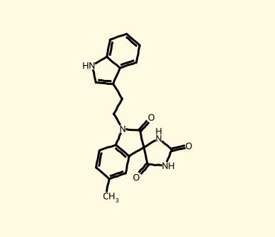 Cc1ccc2c(c1)C1(NC(=O)NC1=O)C(=O)N2CCc1c[nH]c2ccccc12